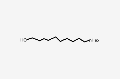 CCCCCCCCC[CH]CCCCCCO